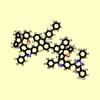 c1ccc(-c2ccc(-c3c4ccccc4c(-c4ccc5nc(-c6ccccc6)c6ccc7c(c6c5c4)Oc4ccccc4C74c5ccccc5-c5ccccc54)c4ccc(-c5ccc6c(c5)-c5ccccc5C65c6ccccc6Oc6c5ccc5c(-c7ccccc7)nc7ccc(-c8nc(-c9ccccc9)nc9c8sc8ccccc89)cc7c65)cc34)cc2)cc1